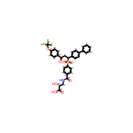 O=C(CC(c1ccc(-c2ccccc2)cc1)S(=O)(=O)c1ccc(C(=O)NC[C@@H](O)C(=O)O)cc1)c1ccc(OC(F)(F)F)cc1